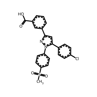 CS(=O)(=O)c1ccc(-n2nc(-c3cccc(C(=O)O)c3)cc2-c2ccc(Cl)cc2)cc1